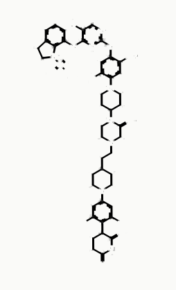 COc1cc(N2CCC(N3CCN(CCC4CCN(c5cc(F)c(C6CCC(=O)NC6=O)c(F)c5)CC4)CC3=O)CC2)c(C)cc1Nc1ncc(Br)c(Nc2cccc3c2N(S(C)(=O)=O)CC3)n1